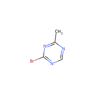 Cc1ncnc(Br)n1